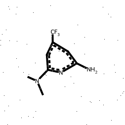 CN(C)c1cc(C(F)(F)F)cc(N)n1